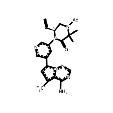 C=C[C@H]1CN(C(C)=O)C(C)(C)C(=O)N1c1cncc(-c2cc(C(F)(F)F)c3c(N)ncnn23)c1